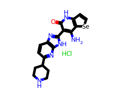 Cl.Nc1c(-c2nc3ccc(C4CCNCC4)nc3[nH]2)c(=O)[nH]c2cc[se]c12